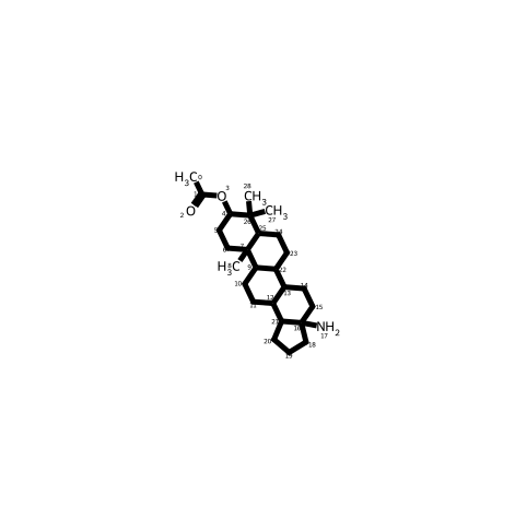 CC(=O)OC1CCC2(C)C3CCC4C(CCC5(N)CCCC45)C3CCC2C1(C)C